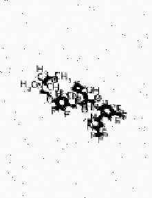 COCC(C)(C)N(C)CCOc1ccc(CN2C(=O)C(C(=O)Nc3ccc(C(F)(F)F)cc3-c3cc(C(F)(F)F)ncn3)=C(O)C3(CCC3)N2C)c(F)c1F